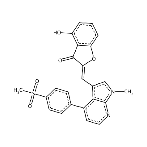 Cn1cc(C=C2Oc3cccc(O)c3C2=O)c2c(-c3ccc(S(C)(=O)=O)cc3)ccnc21